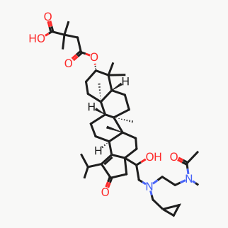 CC(=O)N(C)CCN(CC1CC1)CC(O)C12CC[C@]3(C)[C@H](CC[C@@H]4[C@@]5(C)CC[C@H](OC(=O)CC(C)(C)C(=O)O)C(C)(C)[C@@H]5CC[C@]43C)C1=C(C(C)C)C(=O)C2